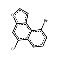 Brc1cc2occc2c2c(Br)cccc12